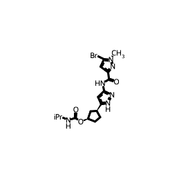 CC(C)NC(=O)O[C@@H]1CC[C@H](c2cc(NC(=O)c3cc(Br)n(C)n3)n[nH]2)C1